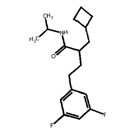 CC(C)NC(=O)C(CCc1cc(F)cc(F)c1)CC1CCC1